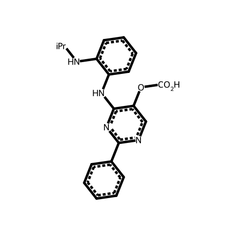 CC(C)Nc1ccccc1Nc1nc(-c2ccccc2)ncc1OC(=O)O